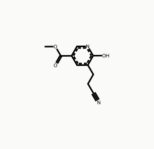 COC(=O)c1cnc(O)c(CCC#N)c1